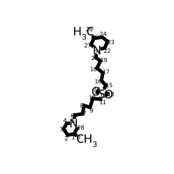 CC1CCCN(CCCCCCS(=O)(=O)CCCCCCN2CCCC(C)C2)C1